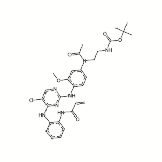 C=CC(=O)Nc1ccccc1Nc1nc(Nc2ccc(N(CCNC(=O)OC(C)(C)C)C(C)=O)cc2OC)ncc1Cl